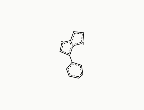 c1ccc(-c2coc3ccnn23)cc1